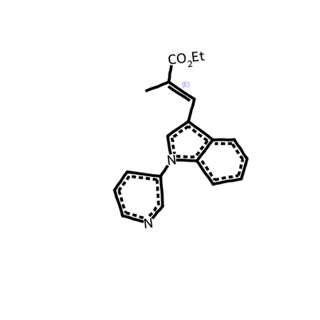 CCOC(=O)/C(C)=C/c1cn(-c2cccnc2)c2ccccc12